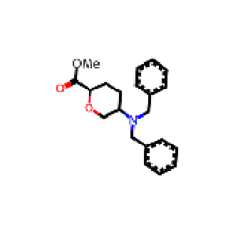 COC(=O)C1CCC(N(Cc2ccccc2)Cc2ccccc2)CO1